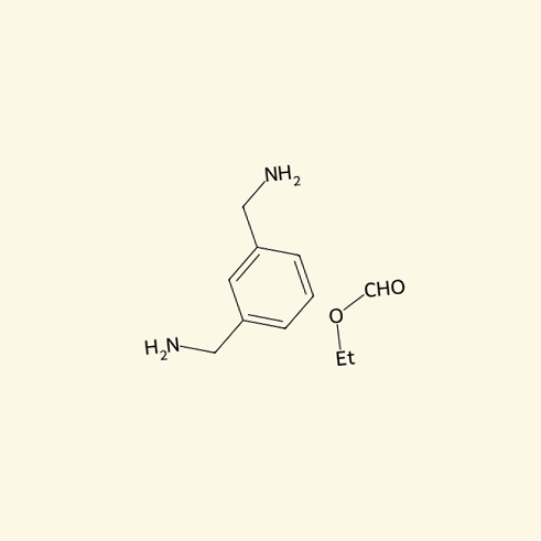 CCOC=O.NCc1cccc(CN)c1